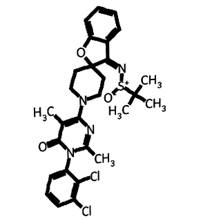 Cc1c(N2CCC3(CC2)Oc2ccccc2/C3=N/[S+]([O-])C(C)(C)C)nc(C)n(-c2cccc(Cl)c2Cl)c1=O